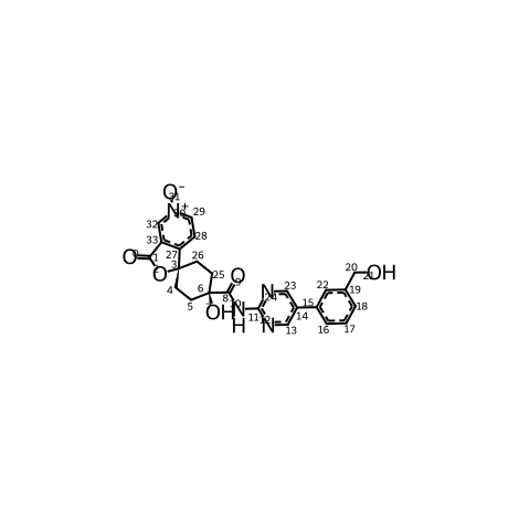 O=C1O[C@]2(CC[C@@](O)(C(=O)Nc3ncc(-c4cccc(CO)c4)cn3)CC2)c2cc[n+]([O-])cc21